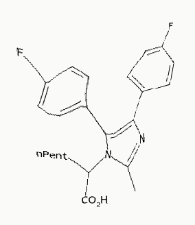 CCCCCC(C(=O)O)n1c(C)nc(-c2ccc(F)cc2)c1-c1ccc(F)cc1